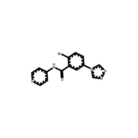 O=C(Nc1ccncc1)c1cc(-n2cnnc2)ccc1Br